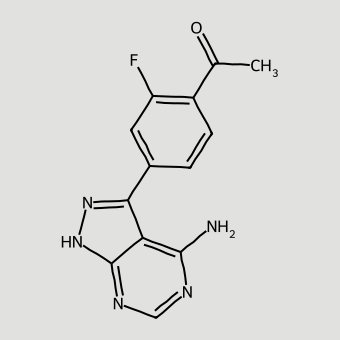 CC(=O)c1ccc(-c2n[nH]c3ncnc(N)c23)cc1F